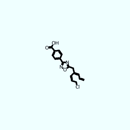 C=C/C=C(\C=C/CCl)Cc1nc(-c2ccc(C(=O)O)cc2)no1